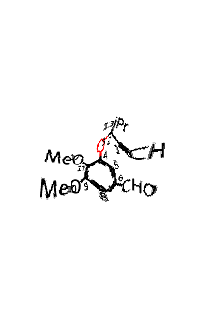 C#CC(Oc1cc(C=O)cc(OC)c1OC)C(C)C